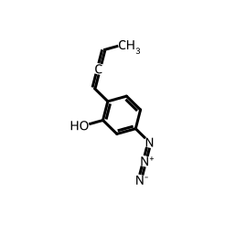 CC=C=Cc1ccc(N=[N+]=[N-])cc1O